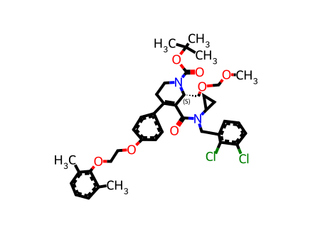 COCOC[C@@H]1C(C(=O)N(Cc2cccc(Cl)c2Cl)C2CC2)=C(c2ccc(OCCOc3c(C)cccc3C)cc2)CCN1C(=O)OC(C)(C)C